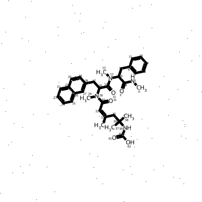 CNC(=O)C(Cc1ccccc1)N(C)C(=O)C(Cc1ccc2ccccc2c1)N(C)C(=O)C=C(C)CC(C)(C)NC(=O)O